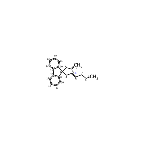 C=CCC1(C/C=C/CCC)c2ccccc2-c2ccccc21